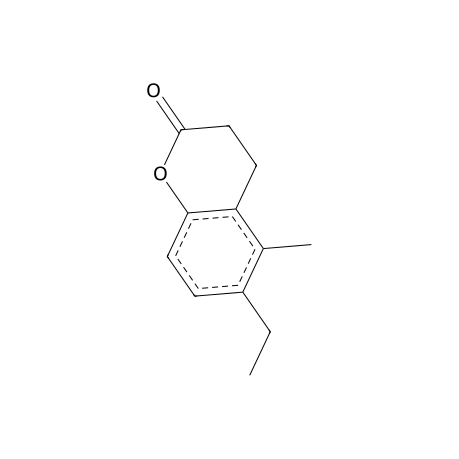 CCc1ccc2c(c1C)CCC(=O)O2